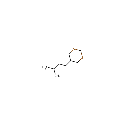 C[C](C)CCC1CSCSC1